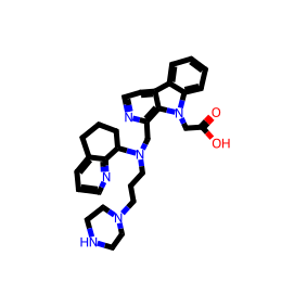 O=C(O)Cn1c2ccccc2c2ccnc(CN(CCCN3CCNCC3)C3CCCc4cccnc43)c21